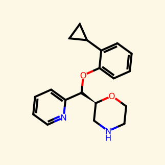 c1ccc(C(Oc2ccccc2C2CC2)[C@@H]2CNCCO2)nc1